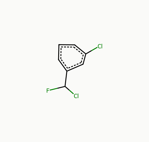 FC(Cl)c1cccc(Cl)c1